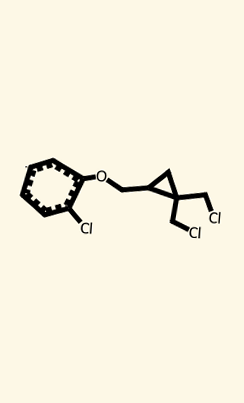 ClCC1(CCl)CC1COc1c[c]ccc1Cl